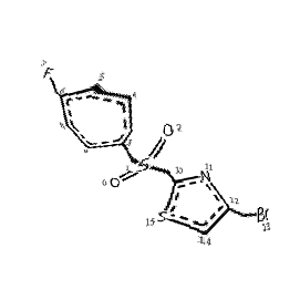 O=S(=O)(c1ccc(F)cc1)c1nc(Br)cs1